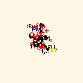 CC(=O)O[C@@]12CO[C@@H]1C[C@H](O)[C@@]1(C)C(=O)[C@H](OC(=O)CCC(C)(C)S)C3=C(C)[C@@H](OC(=O)[C@H](O)[C@@H](NC(=O)OC(C)(C)C)c4ccco4)C[C@@](O)([C@@H](OC(=O)c4ccco4)[C@H]21)C3(C)C